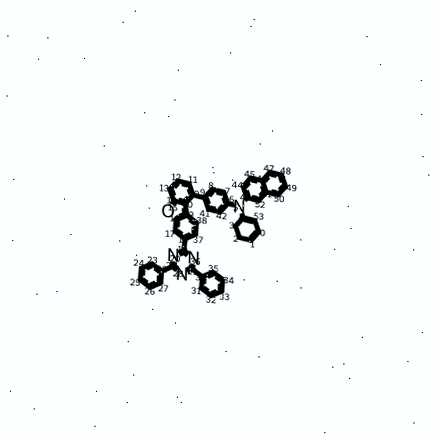 C1=CCCC(N(c2ccc(-c3cccc4oc5cc(-c6nc(-c7ccccc7)nc(-c7ccccc7)n6)ccc5c34)cc2)c2ccc3ccccc3c2)=C1